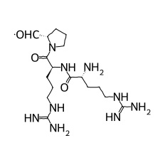 N=C(N)NCCC[C@@H](N)C(=O)N[C@@H](CCCNC(=N)N)C(=O)N1CCC[C@H]1[C]=O